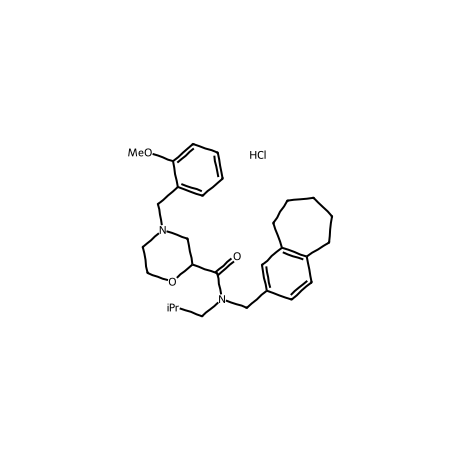 COc1ccccc1CN1CCOC(C(=O)N(Cc2ccc3c(c2)CCCCC3)CC(C)C)C1.Cl